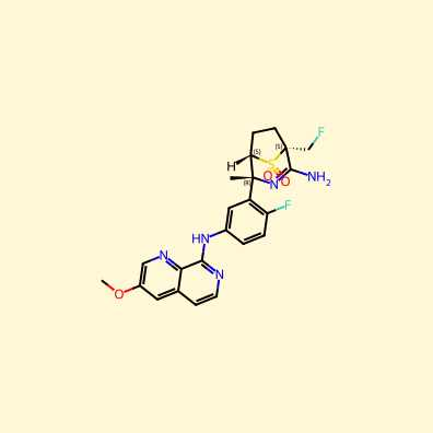 COc1cnc2c(Nc3ccc(F)c([C@@]4(C)N=C(N)[C@]5(CF)CC[C@@H]4S5(=O)=O)c3)nccc2c1